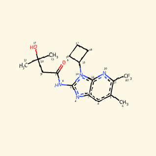 Cc1cc2nc(NC(=O)CC(C)(C)O)n(C3CCC3)c2nc1C(F)(F)F